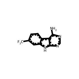 Nc1ncnc2[nH]c3cc(C(F)(F)F)ccc3c12